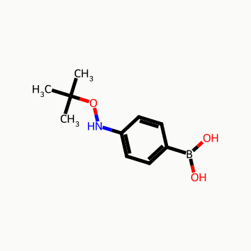 CC(C)(C)ONc1ccc(B(O)O)cc1